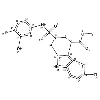 COC(=O)C1CN(S(=O)(=O)Nc2ccc(F)c(O)c2)Cc2[nH]c3ccc(Cl)cc3c21